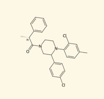 Cc1ccc(N2CCN(C(=O)[C@H](C)c3ccccc3)CC2c2ccc(Cl)cc2)c(Cl)c1